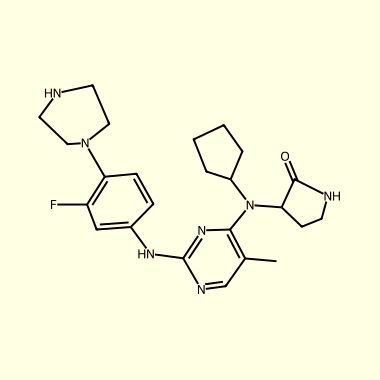 Cc1cnc(Nc2ccc(N3CCNCC3)c(F)c2)nc1N(C1CCCC1)C1CCNC1=O